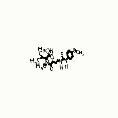 COc1ccc(NC(=S)NCCCC(=O)N(C)C(C(=O)O)C(C)C)cc1